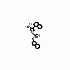 O=[N+]([O-])c1cn(Cc2cncn2Cc2ccc3ccccc3c2)cc1-c1cccc2ccccc12